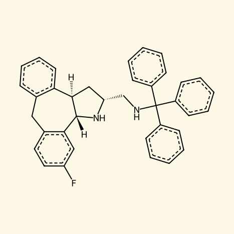 Fc1ccc2c(c1)[C@H]1N[C@@H](CNC(c3ccccc3)(c3ccccc3)c3ccccc3)C[C@@H]1c1ccccc1C2